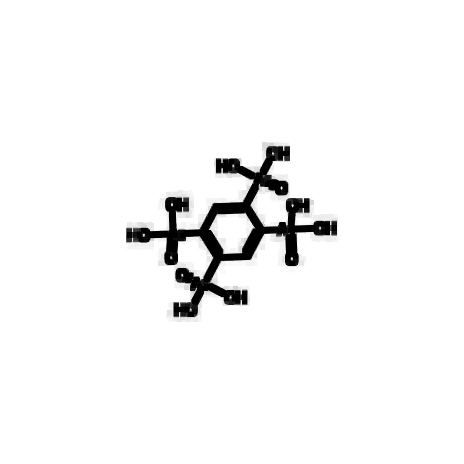 O=[As](O)(O)c1cc([As](=O)(O)O)c([As](=O)(O)O)cc1[As](=O)(O)O